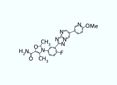 COc1ccc(-c2cnc3nc(-c4cc(N5C(C)=C(C(N)=O)OC5C)ccc4F)nn3c2)cn1